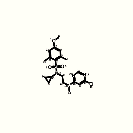 COc1cc(C)c(S(=O)(=O)N(CCN(C)c2cc(Cl)ncn2)C2CC2)c(C)c1